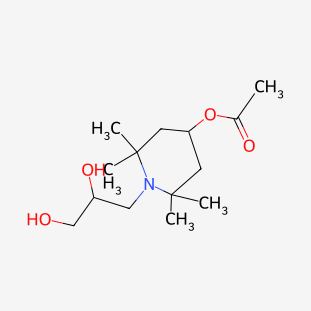 CC(=O)OC1CC(C)(C)N(CC(O)CO)C(C)(C)C1